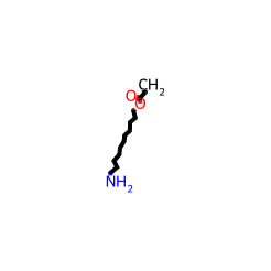 C=CC(=O)OCCCCCCCCCCCN